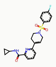 O=C(NC1CC1)c1cccc(C2=CCN(S(=O)(=O)c3ccc(F)cc3)CC2)n1